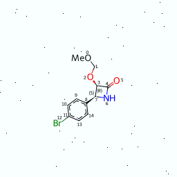 COCO[C@H]1C(=O)N[C@H]1c1ccc(Br)cc1